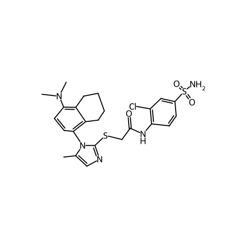 Cc1cnc(SCC(=O)Nc2ccc(S(N)(=O)=O)cc2Cl)n1-c1ccc(N(C)C)c2c1CCCC2